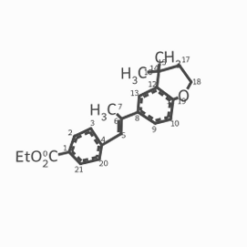 CCOC(=O)c1ccc(C=C(C)c2ccc3c(c2)C(C)(C)CCO3)cc1